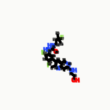 Cc1nc2cc(NCCO)ncc2cc1-c1cc(NC(=O)NCCC(C)(C)F)c(F)cc1F